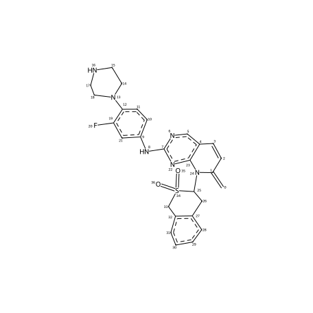 C=C1C=Cc2cnc(Nc3ccc(N4CCNCC4)c(F)c3)nc2N1C1Cc2ccccc2CS1(=O)=O